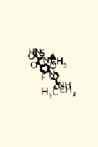 CC[C@H](NC)[C@@H]1CCN(c2c(F)cc3c(=O)c4c(=O)[nH]sc4n(C4CC4)c3c2OC)C1